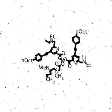 C=C/C=C(/CN(C)CC(=O)ON(OC(=O)c1cc(C#Cc2ccc(CCCCCCCC)cc2)cc(CNCC)n1)OC(=O)c1cc(C#Cc2ccc(CCCCCCCC)cc2)cc(CN(CC)CI)n1)NC